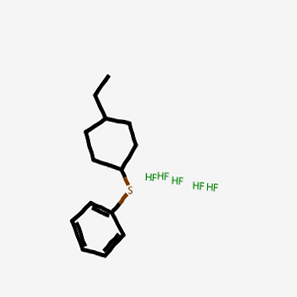 CCC1CCC(Sc2ccccc2)CC1.F.F.F.F.F